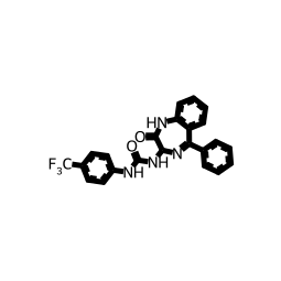 O=C(Nc1ccc(C(F)(F)F)cc1)NC1N=C(c2ccccc2)c2ccccc2NC1=O